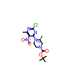 Cc1nc(Cl)nc(N2CCN(C(=O)OC(C)(C)C)C[C@@H]2C)c1[N+](=O)[O-]